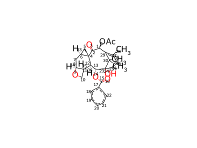 CC(=O)O[C@@H]1C(=O)[C@@]23C[C@@H]2C[C@@H]2OC[C@@H]2[C@@H]3[C@@H](OC(=O)c2ccccc2)[C@@]2(O)CCC(C)=C1C2(C)C